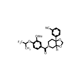 COc1cc(C(=O)N2CC[C@]3(c4cccc(C#N)c4)OCO[C@@H]3C2)ccc1OC(C)C(F)(F)F